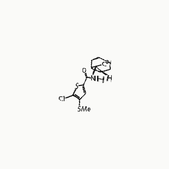 CSc1cc(C(=O)N[C@H]2CN3CCC2CC3)sc1Cl